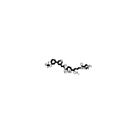 CC(CCCNC(=O)c1c[nH]nn1)c1ccc(NC(=O)Cc2cncc(-c3cccc(OC(F)(F)F)c3)c2)nn1